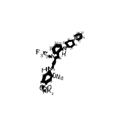 COc1cc(S(N)(=O)=O)ccc1NCC#Cc1cc2c(N[C@H]3CC[C@H](N4CC5CC(C4)O5)CC3)cccc2n1CC(F)(F)F